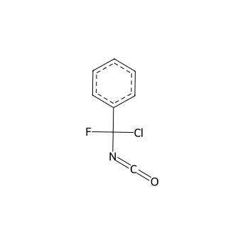 O=C=NC(F)(Cl)c1ccccc1